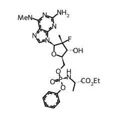 CCOC(=O)[C@H](C)N[P@@](=O)(OC[C@H]1O[C@@H](n2cnc3c(NC)nc(N)nc32)[C@](C)(F)[C@@H]1O)Oc1ccccc1